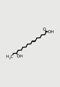 CCC(O)CCCCCCC=CCCCCC(=O)O